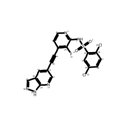 O=S(=O)(Nc1nccc(C#Cc2cnc3[nH]ncc3c2)c1F)c1cc(Cl)ccc1Cl